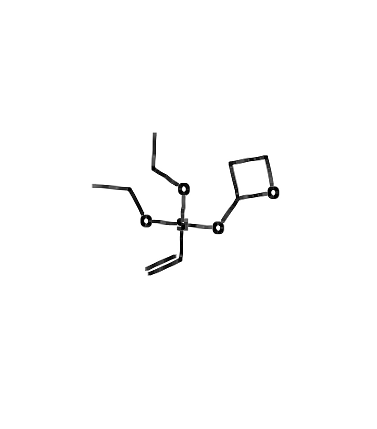 C=C[Si](OCC)(OCC)OC1CCO1